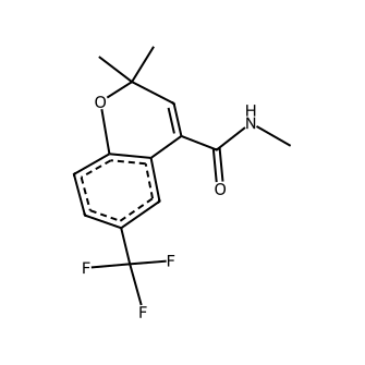 CNC(=O)C1=CC(C)(C)Oc2ccc(C(F)(F)F)cc21